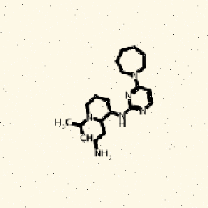 CC(C)N1CCCC(Nc2nccc(N3CCCCCC3)n2)C1CCN